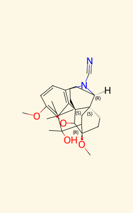 COc1ccc2c3c1OC1[C@@]4(OC)CC[C@@]5(CC4C(C)(O)C(C)(C)C)[C@@H](C2)N(C#N)CC[C@]315